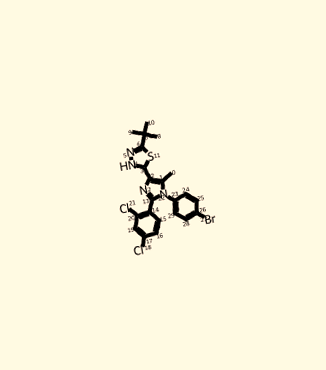 Cc1c(C2NN=C(C(C)(C)C)S2)nc(-c2ccc(Cl)cc2Cl)n1-c1ccc(Br)cc1